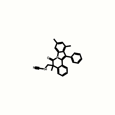 Cc1cc(C)c2c(-c3ccccc3)c3n(c2c1)C(=O)C(C)(C[Se]C#N)c1ccccc1-3